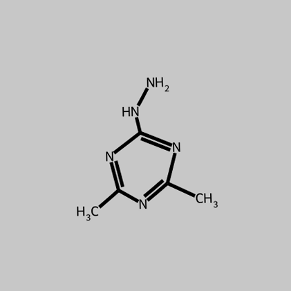 Cc1nc(C)nc(NN)n1